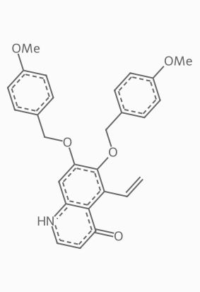 C=Cc1c(OCc2ccc(OC)cc2)c(OCc2ccc(OC)cc2)cc2[nH]ccc(=O)c12